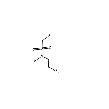 CCCN(I)S(=O)(=O)CF